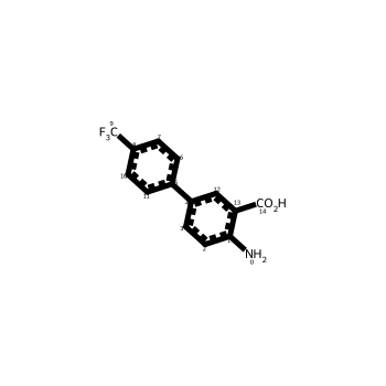 Nc1ccc(-c2ccc(C(F)(F)F)cc2)cc1C(=O)O